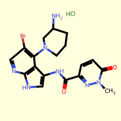 Cl.Cn1nc(C(=O)Nc2c[nH]c3ncc(Br)c(N4CCCC(N)C4)c23)ccc1=O